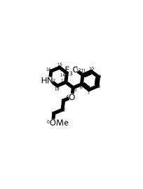 COCCCOC(c1ccccc1C(F)(F)F)C1CCCNC1